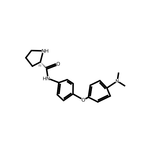 CN(C)c1ccc(Oc2ccc(NC(=O)[C@@H]3CCCN3)cc2)cc1